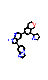 c1cn2ccc(-c3c[nH]c4ncc(-c5cc6c(c(C7CCCN7)c5)COCC6)cc34)cc2n1